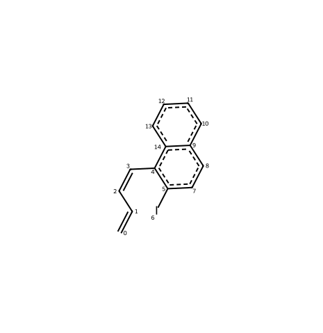 C=C/C=C\c1c(I)ccc2ccccc12